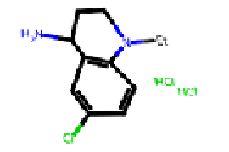 CCN1CCC(N)c2cc(Cl)ccc21.Cl.Cl